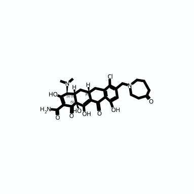 CN(C)[C@@H]1C(O)=C(C(N)=O)C(=O)[C@@]2(O)C(O)=C3C(=O)c4c(O)cc(CN5CCCC(=O)CC5)c(Cl)c4C[C@H]3C[C@@H]12